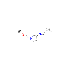 CC1CN(C2CCN(CCOC(C)C)C2)C1